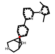 Cc1ccc(C)n1-c1cccc(-c2ccc(C3(O)C4CCC3CNC4)cc2)n1